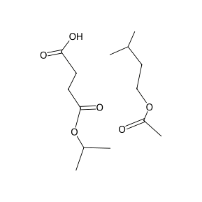 CC(=O)OCCC(C)C.CC(C)OC(=O)CCC(=O)O